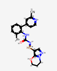 CC(C)c1cccc(-c2ccnc(C#N)c2)c1NC(=O)N=[SH]c1cnn2c1OCCC2